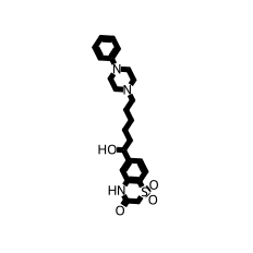 O=C1CS(=O)(=O)c2ccc(C(O)CCCCCN3CCN(c4ccccc4)CC3)cc2N1